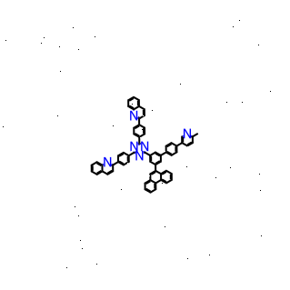 Cc1ccc(-c2ccc(-c3cc(-c4nc(-c5ccc(-c6ccc7ccccc7n6)cc5)nc(-c5ccc(-c6ccc7ccccc7n6)cc5)n4)cc(-c4cc5ccccc5c5ccccc45)c3)cc2)cn1